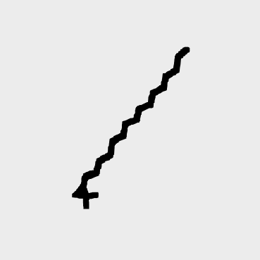 CCCCCCCCCCCCCC/C=C/C1CC1(C)C